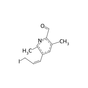 Cc1cc(/C=C\CI)c(C)nc1C=O